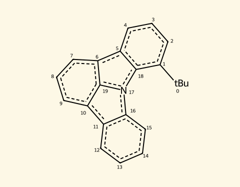 CC(C)(C)c1cccc2c3cccc4c5ccccc5n(c12)c43